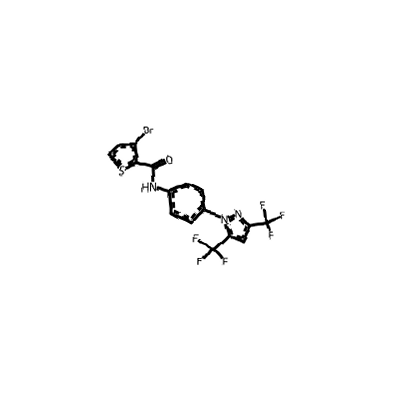 O=C(Nc1ccc(-n2nc(C(F)(F)F)cc2C(F)(F)F)cc1)c1sccc1Br